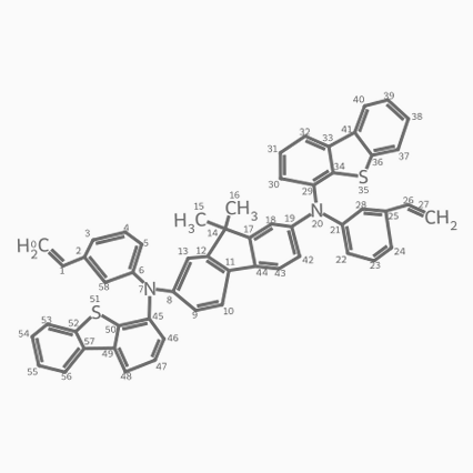 C=Cc1cccc(N(c2ccc3c(c2)C(C)(C)c2cc(N(c4cccc(C=C)c4)c4cccc5c4sc4ccccc45)ccc2-3)c2cccc3c2sc2ccccc23)c1